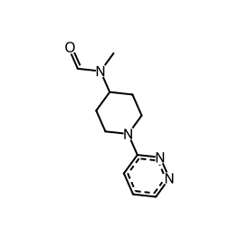 CN(C=O)C1CCN(c2cccnn2)CC1